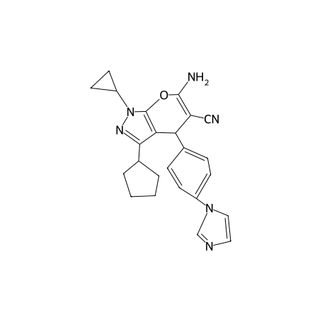 N#CC1=C(N)Oc2c(c(C3CCCC3)nn2C2CC2)C1c1ccc(-n2ccnc2)cc1